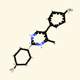 CCCCc1ccc(-c2cnc([C@H]3CC[C@H](CCC)CC3)nc2C)cc1